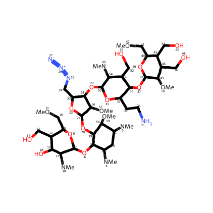 CNC1CC(NC)C(OC2OC(COC)C(CO)C(O)C2NC)C(OC2OC(CN=[N+]=[N-])C(OC3OC(CCN)C(OC4OC(COC)C(CO)C(CO)C4OC)C(CO)C3NC)C2OC)C1OC